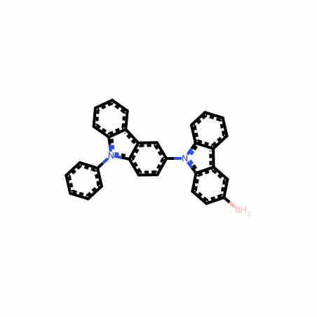 Bc1ccc2c(c1)c1ccccc1n2-c1ccc2c(c1)c1ccccc1n2-c1ccccc1